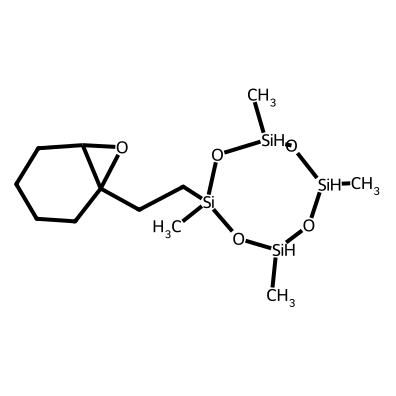 C[SiH]1O[SiH](C)O[Si](C)(CCC23CCCCC2O3)O[SiH](C)O1